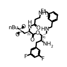 CCCCS(=O)(=O)C[C@@H](NC(=O)CCN)C(=O)O[C@H](CNCc1cccc(CC)c1)[C@@H](N)Cc1cc(F)cc(F)c1